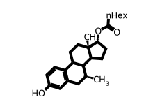 CCCCCCC(=O)O[C@H]1CCC2C3C(CC[C@@]21C)c1ccc(O)cc1C[C@@H]3C